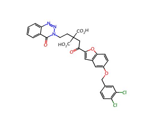 O=C(CC(CCn1nnc2ccccc2c1=O)(C(=O)O)C(=O)O)c1cc2cc(OCc3ccc(Cl)c(Cl)c3)ccc2o1